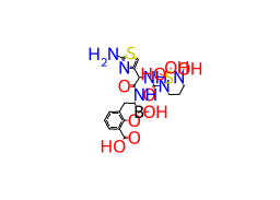 Nc1nc(C(NC(=O)N2CCCN(O)S2(O)O)C(=O)N[C@H]2Cc3cccc(C(=O)O)c3OB2O)cs1